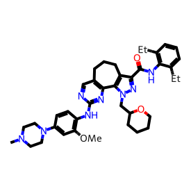 CCc1cccc(CC)c1NC(=O)c1nn(CC2CCCCO2)c2c1CCCc1cnc(Nc3ccc(N4CCN(C)CC4)cc3OC)nc1-2